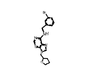 Brc1cccc(CNc2ncnc3c2ncn3CC2CCCO2)c1